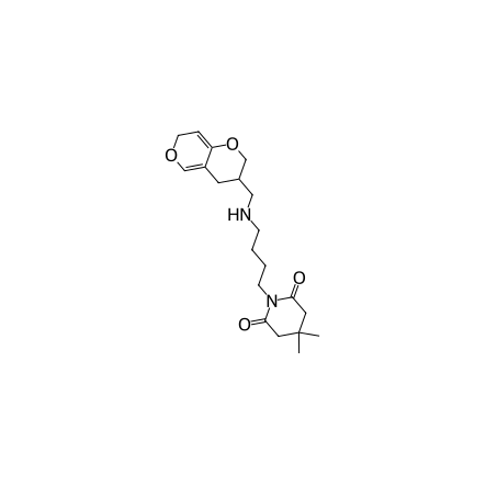 CC1(C)CC(=O)N(CCCCNCC2COC3=CCOC=C3C2)C(=O)C1